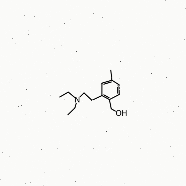 CCN(CC)CCc1cc(C)ccc1CO